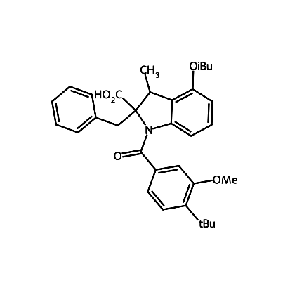 COc1cc(C(=O)N2c3cccc(OCC(C)C)c3C(C)C2(Cc2ccccc2)C(=O)O)ccc1C(C)(C)C